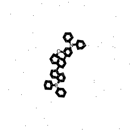 c1ccc(B(c2ccccc2)c2cccc3c(-c4ccc5c6c(cccc46)Oc4cc(N(c6ccccc6)c6ccccc6)ccc4-5)cccc23)cc1